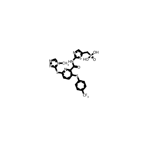 Cn1cnnc1Sc1ccc(Sc2ccc(C(F)(F)F)cc2)c(C(=O)Nc2ncc(CP(=O)(O)O)s2)n1